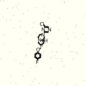 Fc1ccc(OC[C@H]2C[C@H]3CN(c4cncc(Cl)n4)CCN3C2)cc1